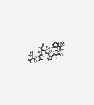 CC[C@H](C)C([C@@H](CC(=O)N1CCC[C@H]1[C@H](OC)[C@@H](C)C(=O)N[C@H](C)/C(=N/O)c1cccc(OC)c1)OC)N(C)C(=O)[C@@H](NC(=O)[C@@H](NC)C(C)C)C(C)C